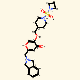 O=c1cc(CN2Cc3ccccc3C2)occ1OCC1CCN(S(=O)(=O)N2CCC2)CC1